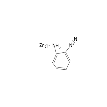 N#[N+]c1ccccc1N.[Cl-].[Zn]